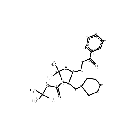 CC(C)(C)OC(=O)N1C(CC2CCCCC2)C(CCC(=O)c2ccccn2)OC1(C)C